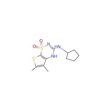 Cc1sc2c(c1C)NC(NC1CCCC1)=NS2(=O)=O